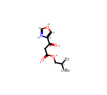 CCCCC(CC)COC(=O)CC(=O)c1cocn1